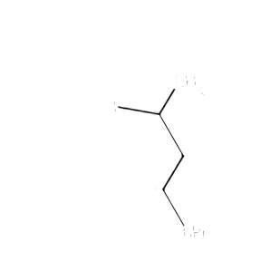 [CH2]C(I)CCCCC